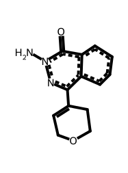 Nn1nc(C2=CCOCC2)c2ccccc2c1=O